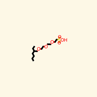 CCCCC(CC)COCCOCCOCCS(=O)(=O)O